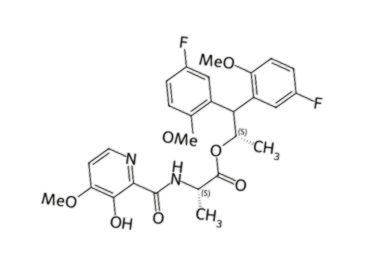 COc1ccc(F)cc1C(c1cc(F)ccc1OC)[C@H](C)OC(=O)[C@H](C)NC(=O)c1nccc(OC)c1O